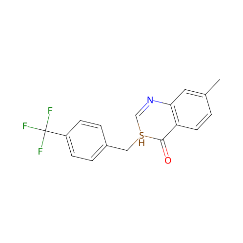 Cc1ccc2c(c1)N=C[SH](Cc1ccc(C(F)(F)F)cc1)C2=O